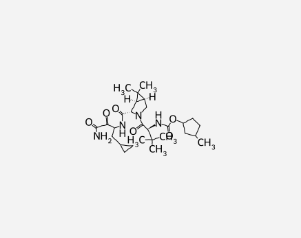 CC1CCC(OC(=O)N[C@H](C(=O)N2C[C@H]3[C@@H]([C@H]2C(=O)NC(CC2CC2)C(=O)C(N)=O)C3(C)C)C(C)(C)C)C1